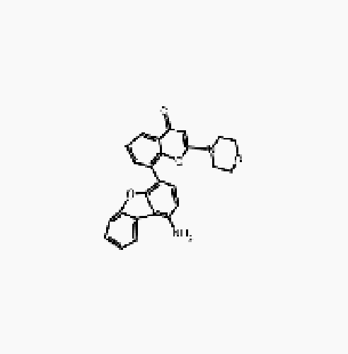 Nc1ccc(-c2cccc3c(=O)cc(N4CCOCC4)oc23)c2oc3ccccc3c12